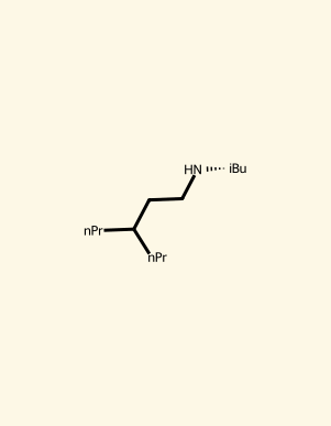 CCCC(CCC)CCN[C@@H](C)CC